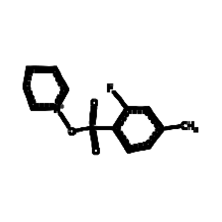 Cc1ccc(S(=O)(=O)O[n+]2ccccc2)c(F)c1